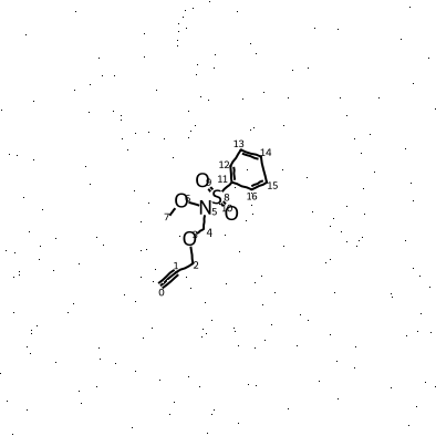 C#CCOCN(OC)S(=O)(=O)c1ccccc1